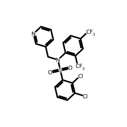 O=S(=O)(c1cccc(Cl)c1Cl)N(Cc1cccnc1)c1ccc(C(F)(F)F)cc1C(F)(F)F